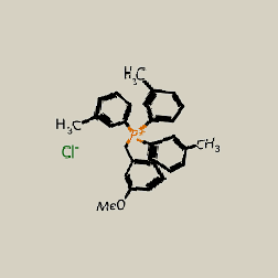 COc1cccc(C[P+](c2cccc(C)c2)(c2cccc(C)c2)c2cccc(C)c2)c1.[Cl-]